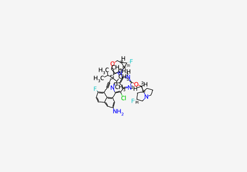 [2H]C([2H])(Oc1nc(N2CCOC[C@H]3[C@H](F)[C@H]32)c2cnc(-c3cc(N)cc4ccc(F)c(C#C[Si](C(C)C)(C(C)C)C(C)C)c34)c(Cl)c2n1)[C@@]12CCCN1C[C@H](F)C2